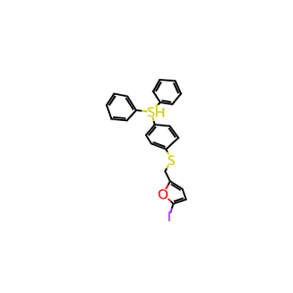 Ic1ccc(CSc2ccc([SH](c3ccccc3)c3ccccc3)cc2)o1